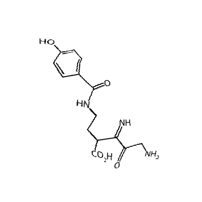 N=C(C(=O)CN)C(CCNC(=O)c1ccc(O)cc1)C(=O)O